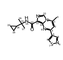 Cc1cc(-c2cnsc2)nc2c(C(=O)NC(C)(C)C3CC3)ncn12